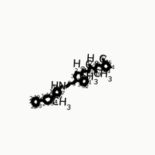 CC(/C=C\C(=C/C=C/Nc1ccc(C2(C)C=CC(c3ccccc3)=CC2)cc1)c1ccccc1)=C\C=C(C)\C(C)=C\c1ccccc1C